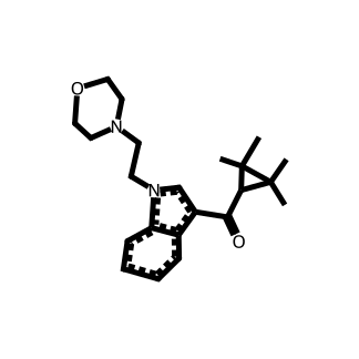 CC1(C)C(C(=O)c2cn(CCN3CCOCC3)c3ccccc23)C1(C)C